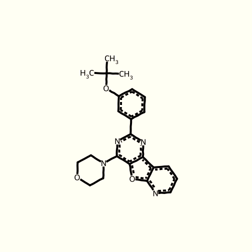 CC(C)(C)Oc1cccc(-c2nc(N3CCOCC3)c3oc4ncccc4c3n2)c1